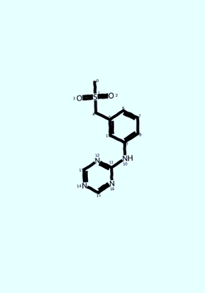 CS(=O)(=O)Cc1cccc(Nc2ncncn2)c1